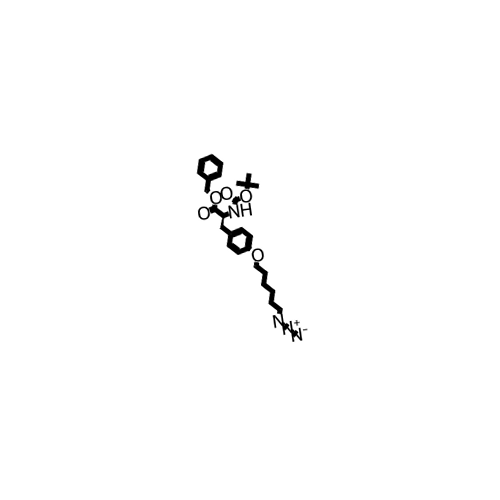 CC(C)(C)OC(=O)N[C@@H](Cc1ccc(OCCCCCCN=[N+]=[N-])cc1)C(=O)OCc1ccccc1